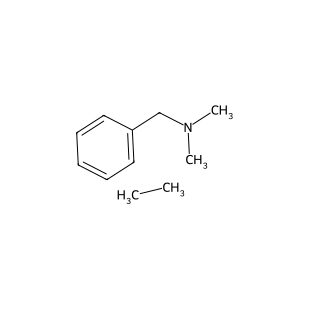 CC.CN(C)Cc1ccccc1